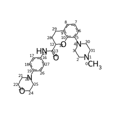 CN1CCN(c2cccc3c2OC(C(=O)Nc2ccc(N4CCOCC4)cc2)CC3)CC1